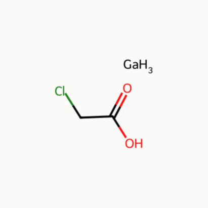 O=C(O)CCl.[GaH3]